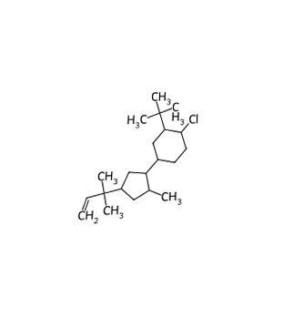 C=CC(C)(C)C1CC(C)C(C2CCC(Cl)C(C(C)(C)C)C2)C1